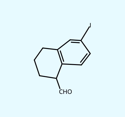 O=CC1CCCc2cc(I)ccc21